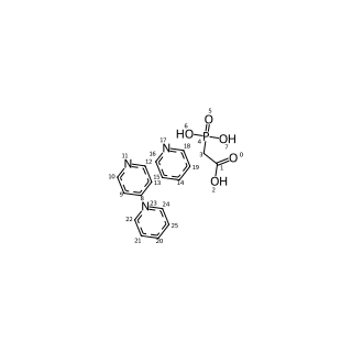 O=C(O)CP(=O)(O)O.c1ccncc1.c1ccncc1.c1ccncc1